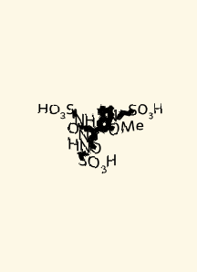 COc1cc(-c2cc(C(=O)NCCS(=O)(=O)O)nc(C(=O)NCCS(=O)(=O)O)c2)cc2c1[N+](CCCS(=O)(=O)O)=C(C)C2(C)C